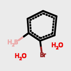 Bc1ccccc1Br.O.O